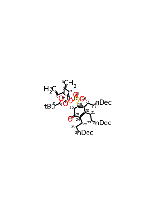 C=C[CH2][Ti](=[O])([CH2]C=C)([O]CC(C)(C)C)[O]S(=O)(=O)C1=C(CCCCCCCCCCCC)C(CCCCCCCCCCCC)=C(CCCCCCCCCCCC)C(=O)C1